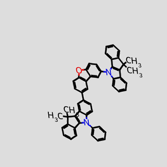 CC1(C)c2ccccc2-c2c1c1ccccc1n2-c1ccc2oc3ccc(-c4ccc5c(c4)c4c(n5-c5ccccc5)-c5ccccc5C4(C)C)cc3c2c1